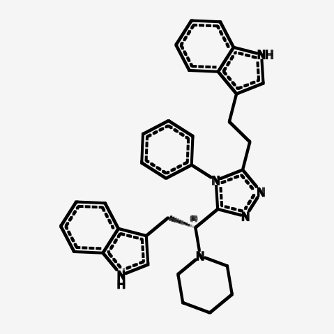 c1ccc(-n2c(CCc3c[nH]c4ccccc34)nnc2[C@@H](Cc2c[nH]c3ccccc23)N2CCCCC2)cc1